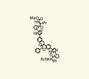 COC(=O)N[C@H](C(=O)N1CCC[C@H]1c1ncc(-c2ccc(Cl)c(CC3=NC(c4ccccc4)Oc4cc(-c5cnc(C6CCCN6C(=O)C(NC(C)=O)C(C)C)[nH]5)ccc43)c2)[nH]1)C(C)C